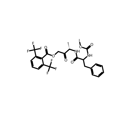 C[C@H](NC(=O)C(Cc1ccccc1)NC(=O)OI)C(=O)COC(=O)c1c(C(F)(F)F)cccc1C(F)(F)F